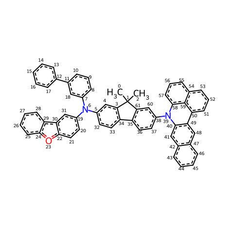 CC1(C)c2cc(N(c3cccc(-c4ccccc4)c3)c3ccc4oc5ccccc5c4c3)ccc2-c2ccc(N3c4cc5ccccc5cc4-c4cccc5cccc3c45)cc21